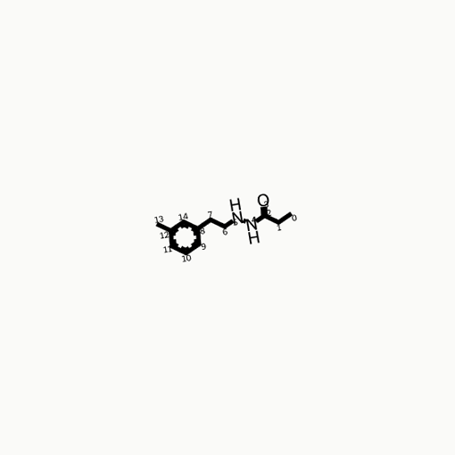 CCC(=O)NNCCc1cccc(C)c1